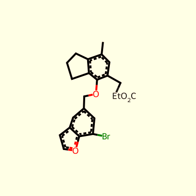 CCOC(=O)Cc1cc(C)c2c(c1OCc1cc(Br)c3occc3c1)CCC2